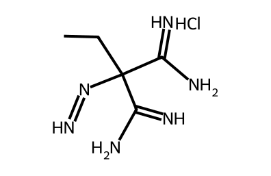 CCC(N=N)(C(=N)N)C(=N)N.Cl